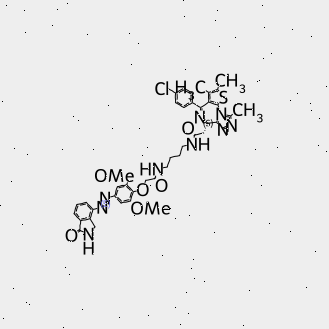 COc1cc(/N=N/c2cccc3c2CNC3=O)cc(OC)c1OCC(=O)NCCCCNC(=O)C[C@@H]1N=C(c2ccc(Cl)cc2)c2c(sc(C)c2C)-n2c(C)nnc21